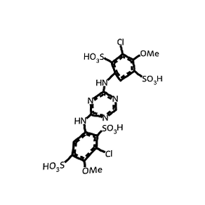 COc1c(S(=O)(=O)O)cc(Nc2ncnc(Nc3cc(S(=O)(=O)O)c(OC)c(Cl)c3S(=O)(=O)O)n2)c(S(=O)(=O)O)c1Cl